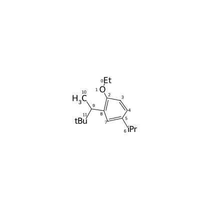 CCOc1ccc(C(C)C)cc1C(C)C(C)(C)C